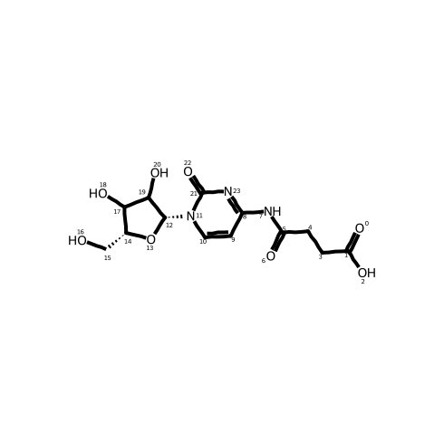 O=C(O)CCC(=O)Nc1ccn([C@@H]2O[C@H](CO)C(O)C2O)c(=O)n1